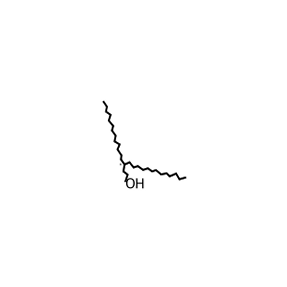 CCCCCCCCCCCCC[C](CCCO)CCCCCCCCCCCCC